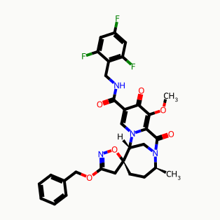 COc1c2n(cc(C(=O)NCc3c(F)cc(F)cc3F)c1=O)[C@@H]1CN(C2=O)[C@@H](C)CC[C@]12CC(OCc1ccccc1)=NO2